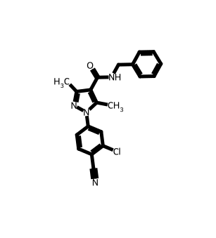 Cc1nn(-c2ccc(C#N)c(Cl)c2)c(C)c1C(=O)NCc1ccccc1